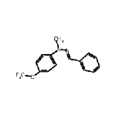 CN(/N=C/c1ccccc1)c1ccc(OC(F)(F)F)cc1